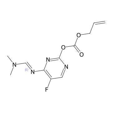 C=CCOC(=O)Oc1ncc(F)c(/N=C/N(C)C)n1